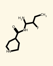 CCC(F)C(N)NC(=O)C1CCNCC1